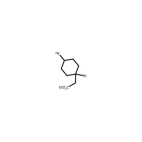 CCOC(=O)CC1(CC)CCC([18F])CC1